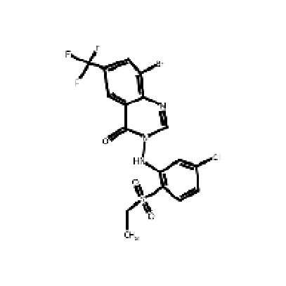 CCS(=O)(=O)c1ccc(Cl)cc1Nn1cnc2c(Br)cc(C(F)(F)F)cc2c1=O